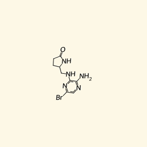 Nc1ncc(Br)nc1NCC1CCC(=O)N1